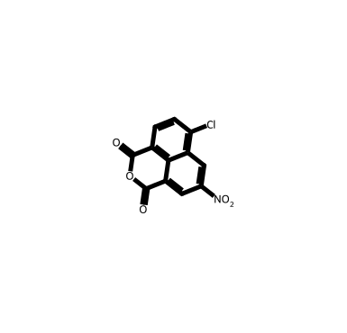 O=C1OC(=O)c2cc([N+](=O)[O-])cc3c(Cl)ccc1c23